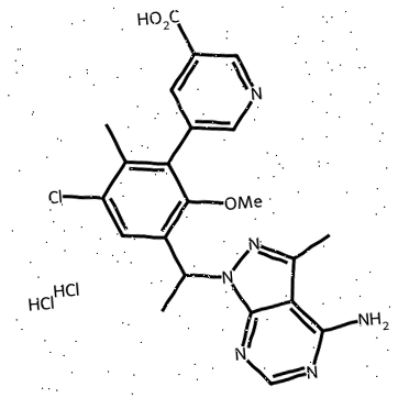 COc1c(C(C)n2nc(C)c3c(N)ncnc32)cc(Cl)c(C)c1-c1cncc(C(=O)O)c1.Cl.Cl